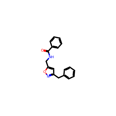 O=C(NCc1cc(Cc2ccccc2)no1)c1ccccc1